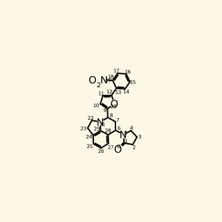 O=C1CCCN1C1CC(c2ccc(-c3ccccc3[N+](=O)[O-])o2)N2CCc3cccc1c32